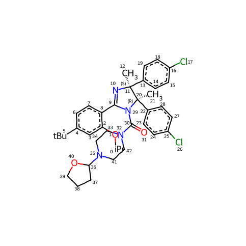 CC(C)Oc1cc(C(C)(C)C)ccc1C1=N[C@@](C)(c2ccc(Cl)cc2)[C@@](C)(c2ccc(Cl)cc2)N1C(=O)N1CCN(C2CCCO2)CC1